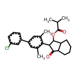 Cc1cc(-c2cccc(Cl)c2)cc(C)c1C1C(=O)C2CCCCC2C1OC(=O)C(C)C